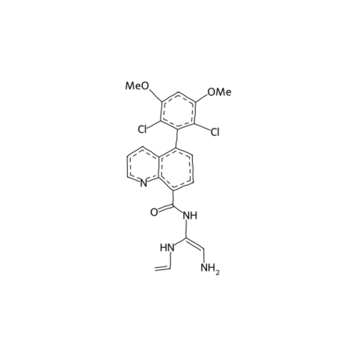 C=CN/C(=C\N)NC(=O)c1ccc(-c2c(Cl)c(OC)cc(OC)c2Cl)c2cccnc12